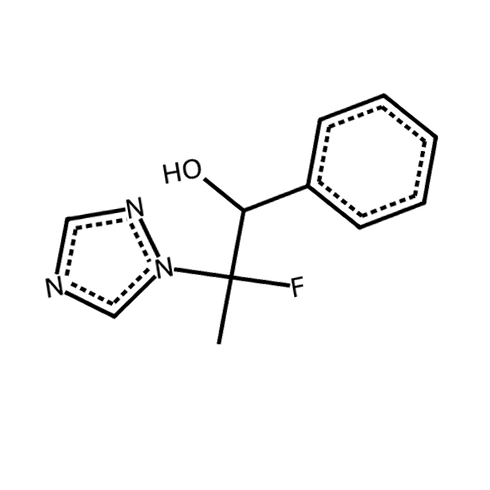 CC(F)(C(O)c1ccccc1)n1cncn1